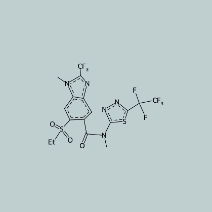 CCS(=O)(=O)c1cc2c(cc1C(=O)N(C)c1nnc(C(F)(F)C(F)(F)F)s1)nc(C(F)(F)F)n2C